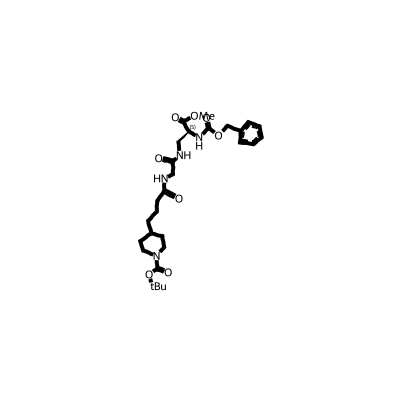 COC(=O)[C@H](CNC(=O)CNC(=O)CCCC1CCN(C(=O)OC(C)(C)C)CC1)NC(=O)OCc1ccccc1